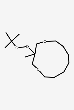 CC(C)(C)OOC1(C)CCCCCCCCCCC1